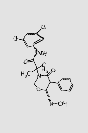 CC(C)(C(=O)Nc1cc(Cl)cc(Cl)c1)N1COC(=C=NO)C(c2ccccc2)C1=O